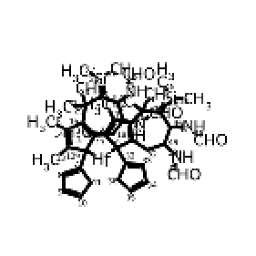 CC1=C(C)[C]([Hf][C]2(C3=CC=CC3)C(C)=C(C)C3=C2CC(NC=O)C(NC=O)C(=[Si](C)C)C3(C)C)(C2=CC=CC2)C2=C1C(C)(C)C(=[Si](C)C)C(NC=O)C(NC=O)C2